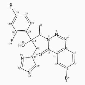 CC(n1nnc2ccc(Br)cc2c1=O)C(O)(Cn1cncn1)c1ccc(F)cc1F